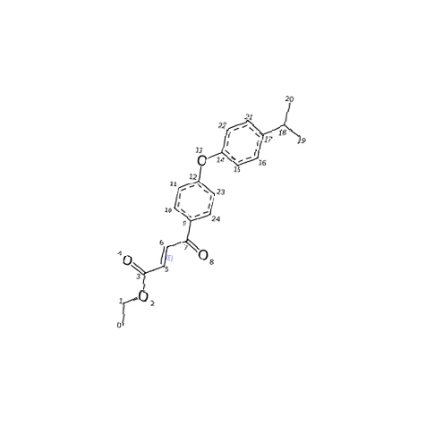 CCOC(=O)/C=C/C(=O)c1ccc(Oc2ccc(C(C)C)cc2)cc1